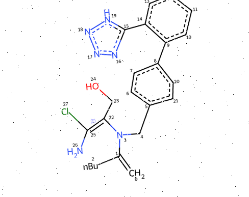 C=C(CCCC)N(Cc1ccc(-c2ccccc2-c2nnn[nH]2)cc1)/C(CO)=C(\N)Cl